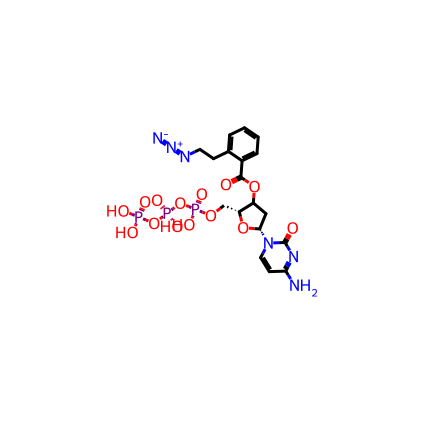 [N-]=[N+]=NCCc1ccccc1C(=O)OC1C[C@H](n2ccc(N)nc2=O)O[C@@H]1COP(=O)(O)OP(=O)(O)OP(=O)(O)O